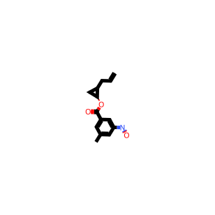 C=CCC1C[C@H]1OC(=O)c1cc(C)cc(N=O)c1